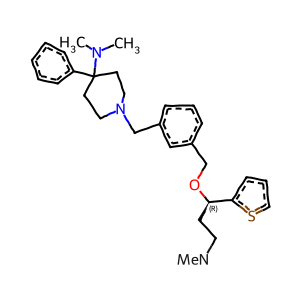 CNCC[C@@H](OCc1cccc(CN2CCC(c3ccccc3)(N(C)C)CC2)c1)c1cccs1